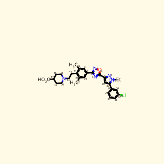 CCn1nc(-c2nc(-c3cc(C)c(CCN4CCC(C(=O)O)CC4)c(C)c3)no2)cc1-c1cccc(Cl)c1